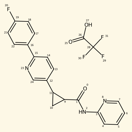 O=C(Nc1ccccn1)C1CC1c1ccc(-c2ccc(F)cc2)nc1.O=C(O)C(F)(F)F